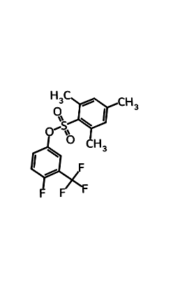 Cc1cc(C)c(S(=O)(=O)Oc2ccc(F)c(C(F)(F)F)c2)c(C)c1